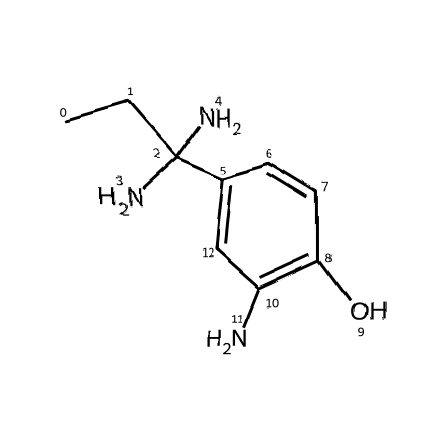 CCC(N)(N)c1ccc(O)c(N)c1